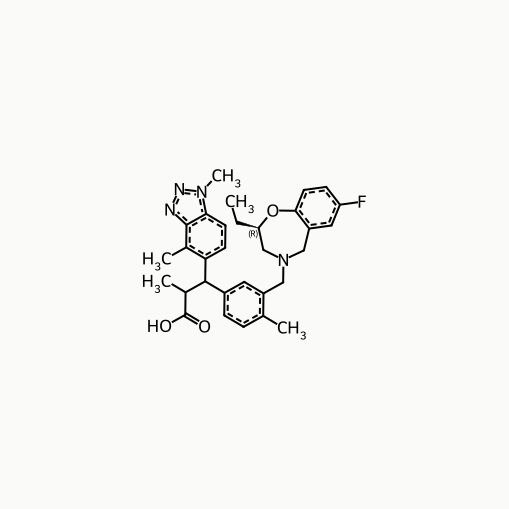 CC[C@@H]1CN(Cc2cc(C(c3ccc4c(nnn4C)c3C)C(C)C(=O)O)ccc2C)Cc2cc(F)ccc2O1